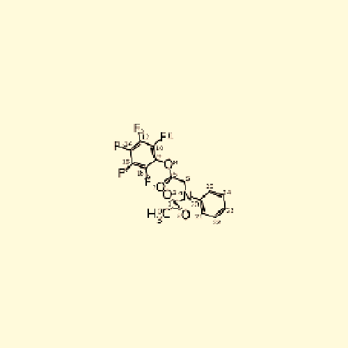 CS(=O)(=O)N(CC(=O)Oc1c(F)c(F)c(F)c(F)c1F)c1ccccc1